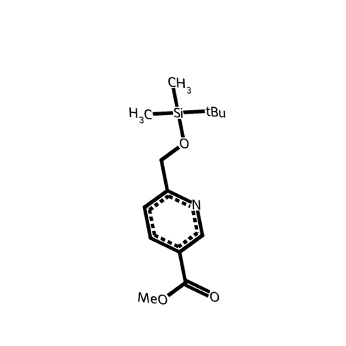 COC(=O)c1ccc(CO[Si](C)(C)C(C)(C)C)nc1